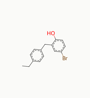 CCc1ccc(Cc2cc(Br)ccc2O)cc1